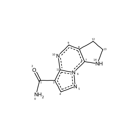 NC(=O)c1cnn2c3c(cnc12)CCN3